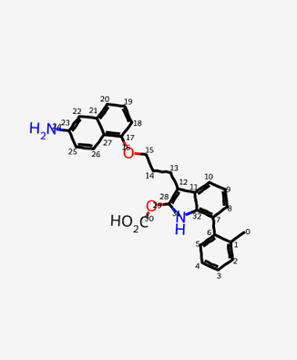 Cc1ccccc1-c1cccc2c(CCCOc3cccc4cc(N)ccc34)c(OC(=O)O)[nH]c12